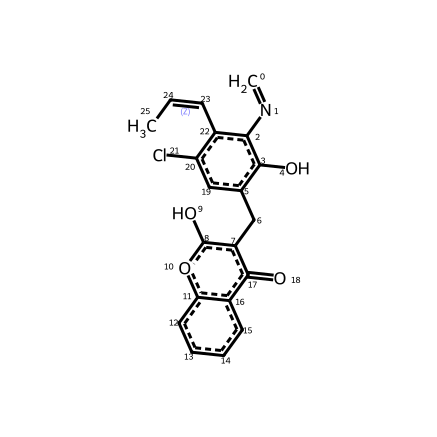 C=Nc1c(O)c(Cc2c(O)oc3ccccc3c2=O)cc(Cl)c1/C=C\C